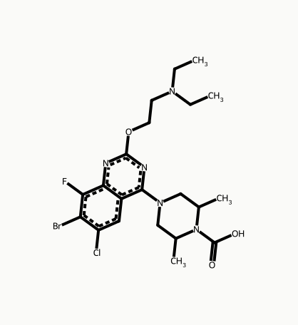 CCN(CC)CCOc1nc(N2CC(C)N(C(=O)O)C(C)C2)c2cc(Cl)c(Br)c(F)c2n1